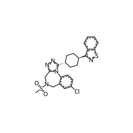 CS(=O)(=O)N1Cc2cc(Cl)ccc2-n2c(nnc2[C@H]2CC[C@H](c3nsc4ccccc43)CC2)C1